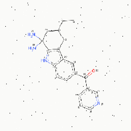 CCC1Cc2c([nH]c3ccc(C(=O)c4cccnc4)cc23)C(N)(N)C1